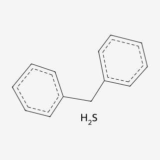 S.c1ccc(Cc2ccccc2)cc1